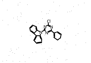 Clc1nc(C2=CCCC=C2)nc(-n2c3ccccc3c3ccccc32)n1